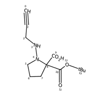 C#CCNN1CCCC1(C(=O)O)C(=O)OC(C)(C)C